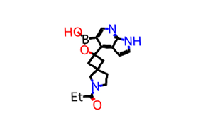 CCC(=O)N1CCC2(C1)CC1(C2)OB(O)c2cnc3[nH]ccc3c21